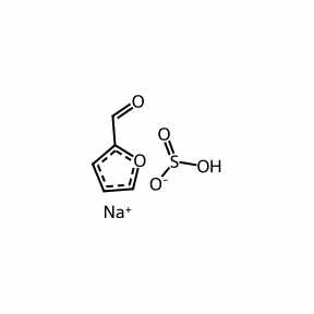 O=Cc1ccco1.O=S([O-])O.[Na+]